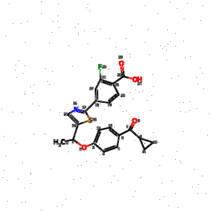 CC(Oc1ccc(C(=O)C2CC2)cc1)c1cnc(-c2ccc(C(=O)O)c(F)c2)s1